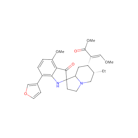 CC[C@@H]1CN2CCC3(Nc4c(-c5ccoc5)ccc(OC)c4C3=O)C2C[C@@H]1/C(=C\OC)C(=O)OC